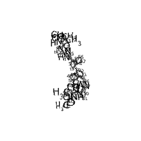 COC(=O)NC(C(=O)N1CCCC1c1ncc(-c2ccc(-c3ccc(-c4cnc(C5CCCN5C(=O)C(NC(=O)OC)C(C)C)[nH]4)c4c3C3CCC4C3)c3c2C2CCC3C2)[nH]1)C(C)C